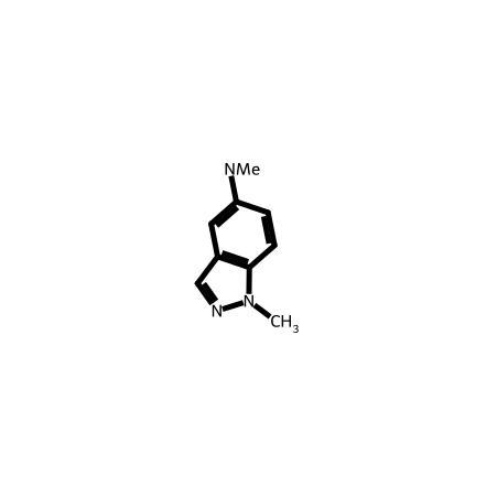 CNc1ccc2c(cnn2C)c1